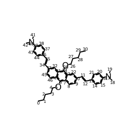 CCCCCOc1c2ccc(C=Cc3ccc(N(C)C)cc3)cc2c(OCCCCC)c2cc(C=Cc3ccc(N(C)C)cc3)ccc12